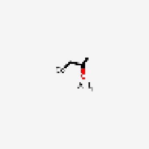 CC(=O)[CH2][Co].[AlH3]